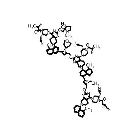 C=C(F)C(=O)N1CCN(c2nc(OCC3(C)CCCN3C)nc3c2CCN(c2cc(C4CC(COc5nc6c(c(N7CCN(C(=O)C(=C)F)[C@@H](CC#N)C7)n5)CCN(c5ccc(C7CC(COc8nc9c(c(N%10CCN(C(=O)/C=C/CF)[C@@H](CC#N)C%10)n8)CCN(c8cccc%10cccc(C)c8%10)C9)N7CC)c7cccc(C)c57)C6)N4C4CCOCC4)cc4cccc(C)c24)C3)C[C@@H]1CC#N